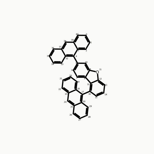 c1ccc2c(-c3ccc4c(c3)oc3cccc(-c5c6ccccc6cc6ccccc56)c34)c3ccccc3cc2c1